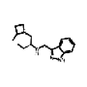 CC[C@@H](CN1CCC1C)NCc1n[nH]c2ccccc12